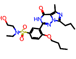 CCCCOc1ccc(S(=O)(=O)N(CC)CCO)cc1-c1nn2c(CCC)nc(C)c2c(=O)[nH]1